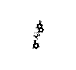 O=C(NNC1CCc2cc(Br)ccc21)OCc1ccccc1